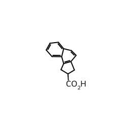 O=C(O)C1Cc2ccc3ccccc3c2C1